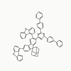 c1ccc(-c2ccc(-c3nc(-c4ccc(-c5ccccc5)cc4)nc(-c4cc5c(cc4-c4cccc6oc7ccccc7c46)-c4cc(-c6cccc7oc8ccccc8c67)ccc4C54C5CC6CC(C5)CC4C6)n3)cc2)cc1